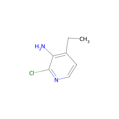 CCc1ccnc(Cl)c1N